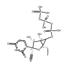 N#C[C@@]1(n2ccc(=O)[nH]c2=O)O[C@]2(CF)C(OP(=O)(O)OP(=O)(O)OP(=O)(O)O)[C@]2(O)[C@H]1O